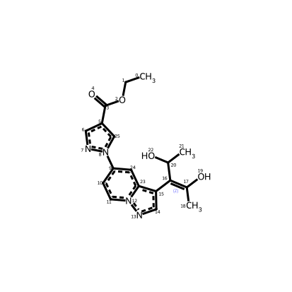 CCOC(=O)c1cnn(-c2ccn3ncc(/C(=C(\C)O)C(C)O)c3c2)c1